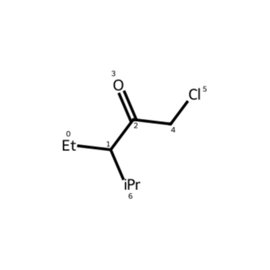 CCC(C(=O)CCl)C(C)C